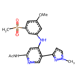 COc1cc(Nc2cc(NC(C)=O)ncc2-c2ccn(C)n2)cc(S(C)(=O)=O)c1